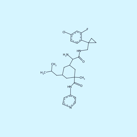 CC(C)CC1CC(C(N)C(=O)NCC2(c3ccc(Cl)cc3F)CC2)CC(C)(C(=O)Nc2ccncc2)C1